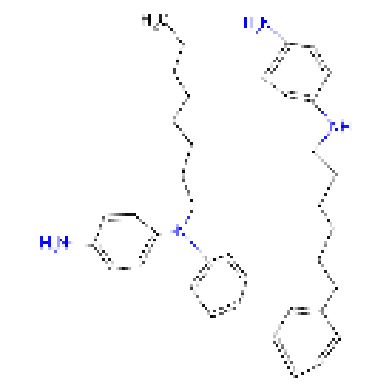 CCCCCCCCN(c1ccccc1)c1ccc(N)cc1.Nc1ccc(NCCCCCCc2ccccc2)cc1